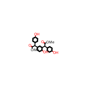 COC(=O)C(c1ccc(O)cc1)c1ccc(O)c(C(C(=O)OC)c2ccc(O)cc2)c1